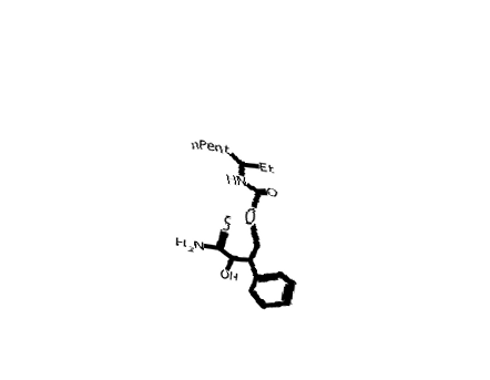 CCCCCC(CC)NC(=O)OCC(c1ccccc1)C(O)C(N)=S